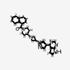 O=C(c1cccc2ccccc12)N1CCC(N2CC(n3cc(-c4ncnc5[nH]ccc45)cn3)C2)CC1